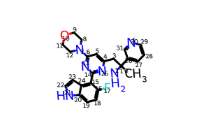 CC(N)(Cc1cc(N2CCOCC2)nc(-c2c(F)ccc3[nH]ccc23)n1)c1cccnc1